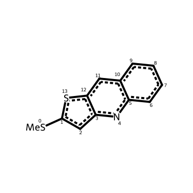 CSc1cc2nc3ccccc3cc2s1